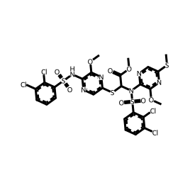 COC(=O)C(Sc1cnc(NS(=O)(=O)c2cccc(Cl)c2Cl)c(OC)n1)N(c1ncc(SC)nc1OC)S(=O)(=O)c1cccc(Cl)c1Cl